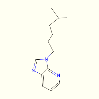 CC(C)CCCCn1cnc2cccnc21